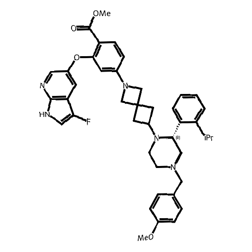 COC(=O)c1ccc(N2CC3(CC(N4CCN(Cc5ccc(OC)cc5)C[C@H]4c4ccccc4C(C)C)C3)C2)cc1Oc1cnc2[nH]cc(F)c2c1